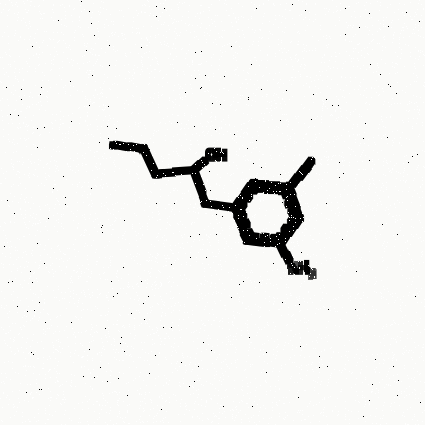 CCCC(O)Cc1cc(C)cc(N)c1